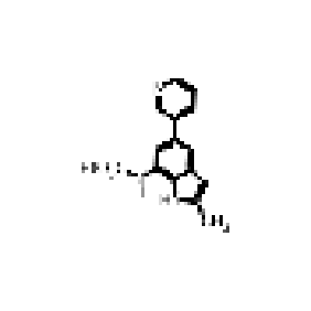 CCOC(=O)Nc1cc(-c2cccnc2)cc2cc(C)[nH]c12